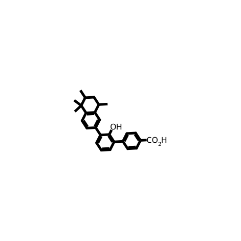 CC1CC(C)C(C)(C)c2ccc(-c3cccc(-c4ccc(C(=O)O)cc4)c3O)cc21